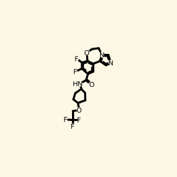 O=C(NC1CCC(OCC(F)(F)F)CC1)c1cc2c(c(F)c1F)OCCn1cncc1-2